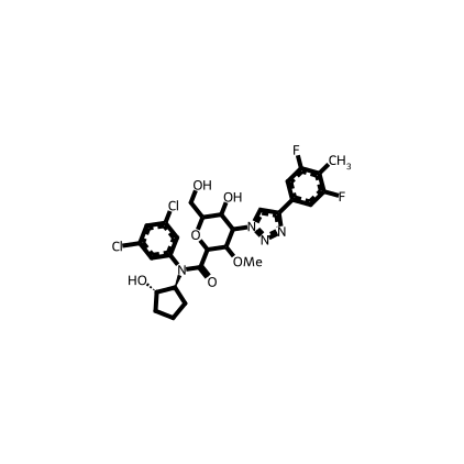 COC1C(C(=O)N(c2cc(Cl)cc(Cl)c2)[C@H]2CCC[C@@H]2O)OC(CO)C(O)C1n1cc(-c2cc(F)c(C)c(F)c2)nn1